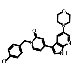 O=c1cc(-c2c[nH]c3ncc(N4CCOCC4)cc23)ccn1Cc1ccc(Cl)cc1